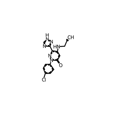 C#CCNc1cc(=O)n(-c2ccc(Cl)cc2)nc1-c1nc[nH]n1